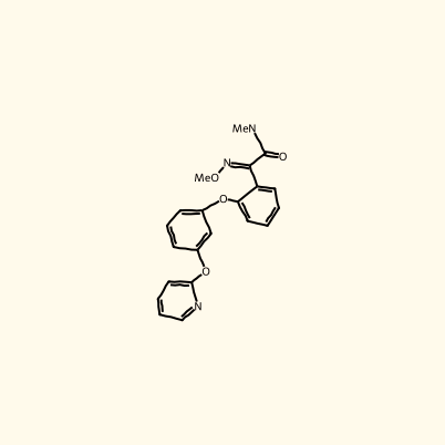 CNC(=O)/C(=N/OC)c1ccccc1Oc1cccc(Oc2ccccn2)c1